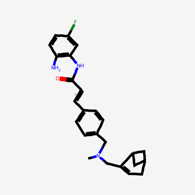 CN(CC1=CCC2CC1C2)Cc1ccc(/C=C/C(=O)Nc2cc(F)ccc2N)cc1